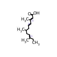 CC/C(C)=C/CC(C)C/C=C/C(C)=C/C(=O)O